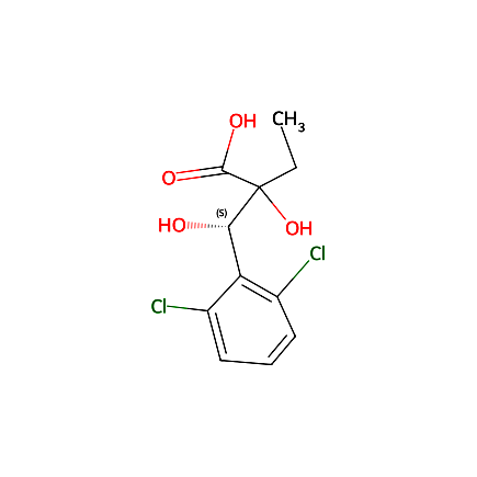 CCC(O)(C(=O)O)[C@@H](O)c1c(Cl)cccc1Cl